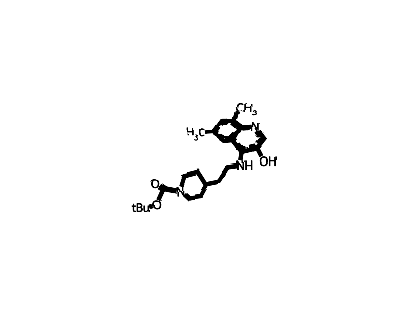 Cc1cc(C)c2ncc(O)c(NCCC3CCN(C(=O)OC(C)(C)C)CC3)c2c1